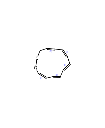 [C]1=C/C=C/C=C/C=C\C=C\CCO\1